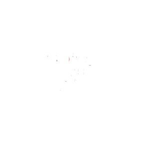 O=S(=O)(Nc1oc(Cc2ccccc2)nc1-c1ccccc1F)c1ccccc1